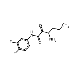 CCCC(N)C(=O)C(=O)Nc1ccc(F)c(F)c1